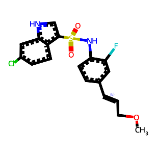 COC/C=C/c1ccc(NS(=O)(=O)c2c[nH]c3cc(Cl)ccc23)c(F)c1